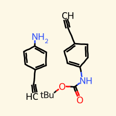 C#Cc1ccc(N)cc1.C#Cc1ccc(NC(=O)OC(C)(C)C)cc1